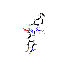 Cc1ccc(N(C)C2=N/C(=C\c3ccc4ncsc4c3)C(=O)N2)c(C)c1